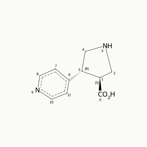 O=C(O)[C@@H]1CNC[C@H]1c1ccncc1